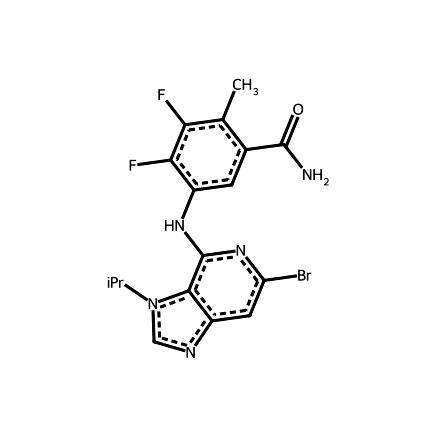 Cc1c(C(N)=O)cc(Nc2nc(Br)cc3ncn(C(C)C)c23)c(F)c1F